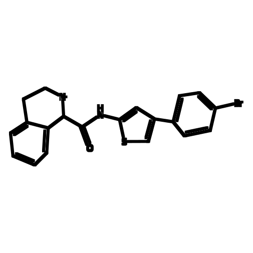 O=C(Nc1cc(-c2ccc(Br)cc2)cs1)C1[N]CCc2ccccc21